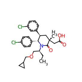 CC[C@@H](COCC1CC1)N1C(=O)[C@@](C)(CC(=O)O)C[C@H](c2cccc(Cl)c2)[C@H]1c1ccc(Cl)cc1